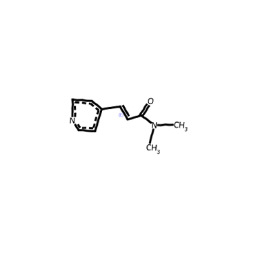 CN(C)C(=O)/C=C/c1ccncc1